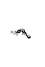 NC(=O)c1ccc(Oc2ccc(CNCCc3ccccc3)cn2)cc1